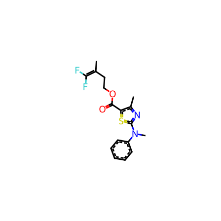 CC(CCOC(=O)c1sc(N(C)c2ccccc2)nc1C)=C(F)F